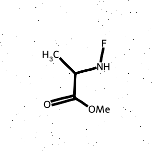 COC(=O)C(C)NF